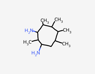 CC1CC(N)C(C)C(N)C(C)C(C)C1C